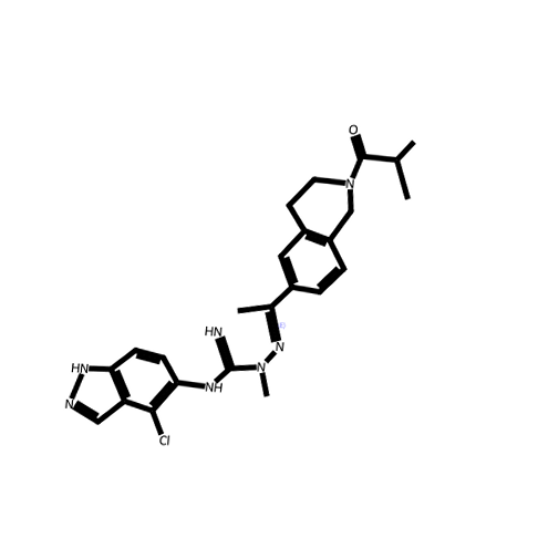 C/C(=N\N(C)C(=N)Nc1ccc2[nH]ncc2c1Cl)c1ccc2c(c1)CCN(C(=O)C(C)C)C2